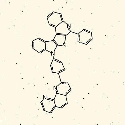 c1ccc(-c2nc3ccccc3c3c2sc2c3c3ccccc3n2-c2ccc(-c3ccc4ccc5cccnc5c4n3)cc2)cc1